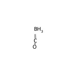 B.C=C=O